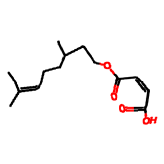 CC(C)=CCCC(C)CCOC(=O)/C=C\C(=O)O